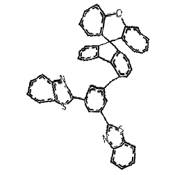 c1ccc2c(c1)Oc1ccccc1C21c2ccccc2-c2c(-c3cc(-c4nc5ccccc5s4)cc(-c4nc5ccccc5s4)c3)cccc21